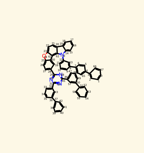 c1ccc(-c2ccc(-c3cccc(-n4c5ccccc5c5ccc6oc7ccc(-c8nc(-c9cccc(-c%10ccccc%10)c9)nc(-c9cccc(-c%10ccccc%10)c9)n8)cc7c6c54)c3)cc2)cc1